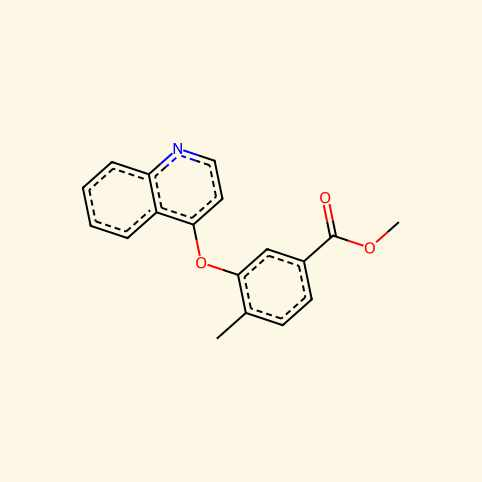 COC(=O)c1ccc(C)c(Oc2ccnc3ccccc23)c1